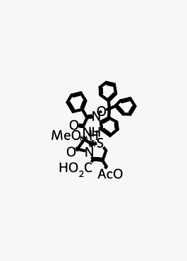 CO[C@@]1(NC(=O)C(=NOC(c2ccccc2)(c2ccccc2)c2ccccc2)c2ccccc2)C(=O)N2C(C(=O)O)=C(COC(C)=O)CS[C@@H]21